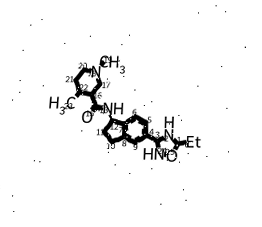 CCC1NC(c2ccc3c(c2)CC[C@H]3NC(=O)C2CN(C)CCC2C)NO1